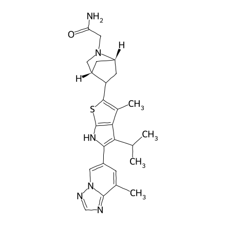 Cc1c(C2C[C@@H]3C[C@H]2CN3CC(N)=O)sc2[nH]c(-c3cc(C)c4ncnn4c3)c(C(C)C)c12